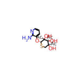 CC(=O)[C@]1(O)[C@@](O)(C(C)=O)CS[C@H](Oc2cccnc2N)[C@@]1(O)C(C)=O